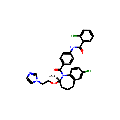 COC1(OCCn2ccnc2)CCCc2cc(Cl)ccc2N1C(=O)c1ccc(NC(=O)c2ccccc2Cl)cc1